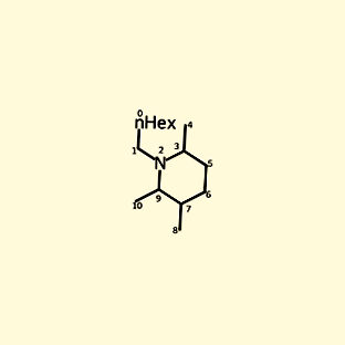 CCCCCCCN1C(C)CCC(C)C1C